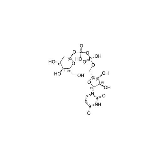 O=c1ccn([C@@H]2O[C@H](COP(=O)(O)OP(=O)(O)O[C@@H]3C[C@@H](O)[C@H](O)[C@@H](CO)O3)[C@@H](O)[C@H]2O)c(=O)[nH]1